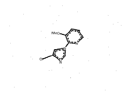 COc1c[c]cnc1-n1cnc(Cl)c1